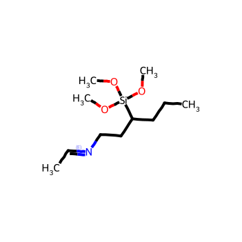 C/C=N/CCC(CCC)[Si](OC)(OC)OC